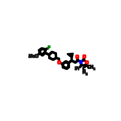 COc1ccc(F)c(C2CCC(COc3cccc(C(CC(=O)N4C(=O)OC(C)(C)C4C(C)C)C4CC4)c3)CC2)c1